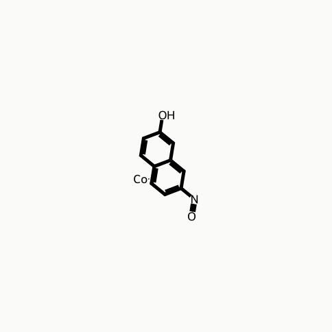 O=Nc1ccc2ccc(O)cc2c1.[Co]